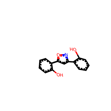 Oc1ccccc1-c1cc(-c2ccccc2O)on1